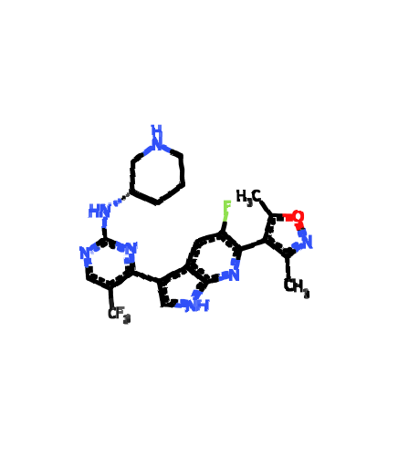 Cc1noc(C)c1-c1nc2[nH]cc(-c3nc(N[C@H]4CCCNC4)ncc3C(F)(F)F)c2cc1F